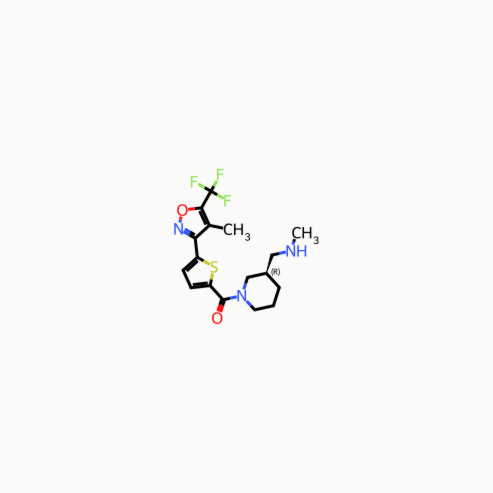 CNC[C@H]1CCCN(C(=O)c2ccc(-c3noc(C(F)(F)F)c3C)s2)C1